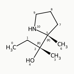 CC[C@@](C)(O)[C@@]1(C)CCCN1